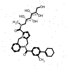 Cc1cc(C(=O)N2Cc3ccc(C(=O)N(C)C[C@H](O)[C@@H](O)[C@H](O)[C@H](O)CO)n3Cc3ccccc32)ccc1C1=CCCCC1